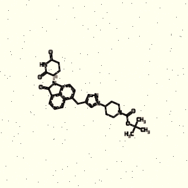 CC(C)(C)OC(=O)N1CCC(n2cc(Cc3ccc4c5c(cccc35)C(=O)N4[C@H]3CCC(=O)NC3=O)cn2)CC1